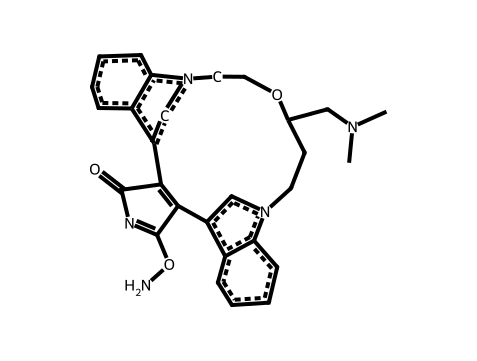 CN(C)CC1CCn2cc(c3ccccc32)C2=C(C(=O)N=C2ON)c2cn(c3ccccc23)CCO1